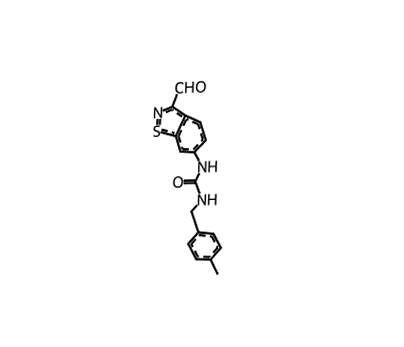 Cc1ccc(CNC(=O)Nc2ccc3c(C=O)nsc3c2)cc1